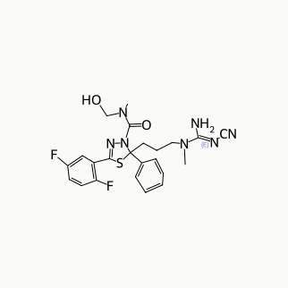 CN(CO)C(=O)N1N=C(c2cc(F)ccc2F)SC1(CCCN(C)/C(N)=N/C#N)c1ccccc1